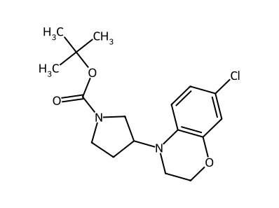 CC(C)(C)OC(=O)N1CCC(N2CCOc3cc(Cl)ccc32)C1